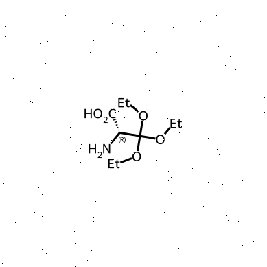 CCOC(OCC)(OCC)[C@H](N)C(=O)O